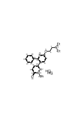 CCN(CC)CCOc1ccc(-c2ccc(=O)n(C(C)C)n2)c(-c2ccccc2)n1.Cl.Cl